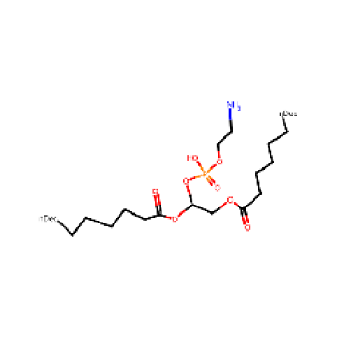 CCCCCCCCCCCCCCCC(=O)OCC(OC(=O)CCCCCCCCCCCCCCC)OP(=O)(O)OCCN